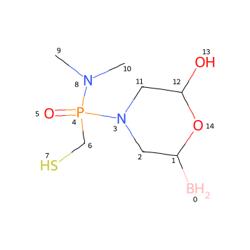 BC1CN(P(=O)(CS)N(C)C)CC(O)O1